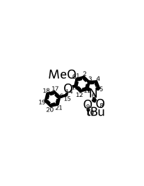 COc1cc2ccn(C(=O)OC(C)(C)C)c2cc1OCc1ccccc1